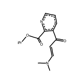 CC(C)OC(=O)c1ncccc1C(=O)/C=C/N(C)C